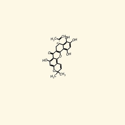 C=C(C)[C@H]1Cc2c(oc3c4c(cc(O)c3c2=O)OC(C)(C)C=C4)-c2c(O)cc(O)c(O)c21